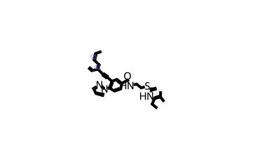 C=C/C(C#Cc1cc(C(=O)NCCSC(=C)NC(CC)=C(C)C)ccc1-n1cccn1)=C\C=C/C